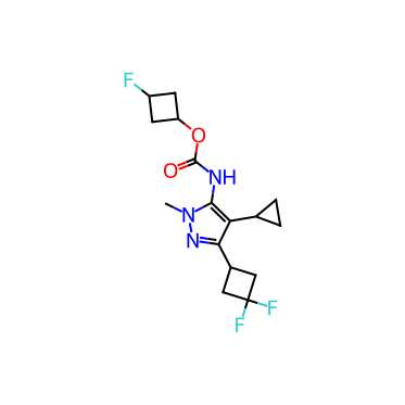 Cn1nc(C2CC(F)(F)C2)c(C2CC2)c1NC(=O)OC1CC(F)C1